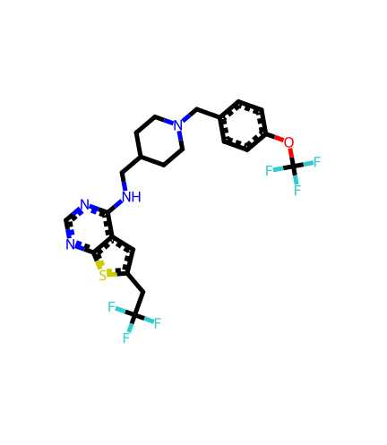 FC(F)(F)Cc1cc2c(NCC3CCN(Cc4ccc(OC(F)(F)F)cc4)CC3)ncnc2s1